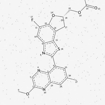 COc1cnc2c(-c3nc4cc(F)c5c(c4s3)C[C@@H](COC(=O)Cl)O5)cc(C)cc2n1